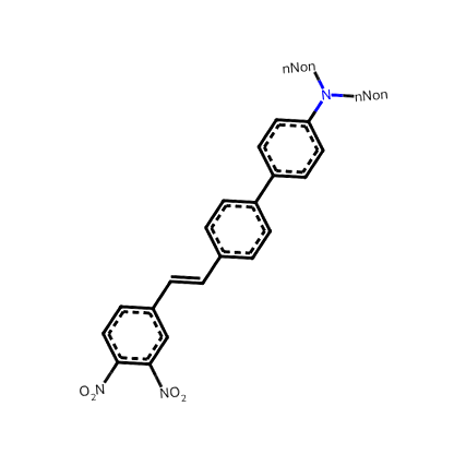 CCCCCCCCCN(CCCCCCCCC)c1ccc(-c2ccc(C=Cc3ccc([N+](=O)[O-])c([N+](=O)[O-])c3)cc2)cc1